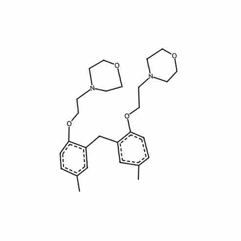 Cc1ccc(OCCN2CCOCC2)c(Cc2cc(C)ccc2OCCN2CCOCC2)c1